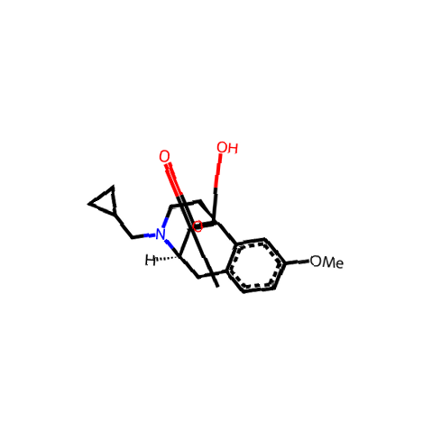 COc1ccc2c(c1)[C@]13CCN(CC4CC4)[C@H](C2)C1OC(=O)C(O)C3